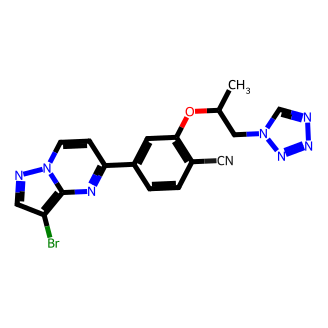 CC(Cn1cnnn1)Oc1cc(-c2ccn3ncc(Br)c3n2)ccc1C#N